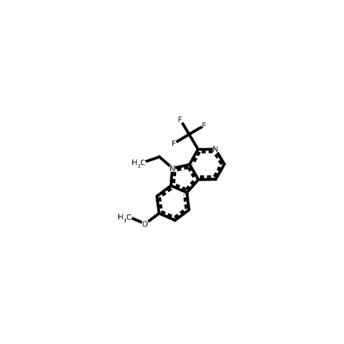 C[CH]n1c2cc(OC)ccc2c2ccnc(C(F)(F)F)c21